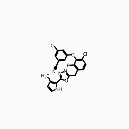 Cc1cc[nH]c1-c1nnc(Cc2ccc(Cl)c(Oc3cc(Cl)cc(C#N)c3)c2F)o1